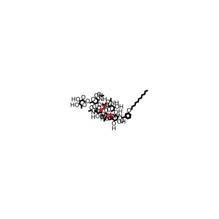 CCCCCCCCCCCOc1cccc(C(=O)N[C@@H]2C(O[C@H]3C(O)C(NC(C)=O)[C@H](OC(C)C(CO)O[C@@H](O[C@H]4C(O)C(NC(C)=O)C(OC5C(CO[C@@H]6OC(C)C(O)[C@H](O)[C@H]6OC)OC(O)[C@@H](NC(C)=O)[C@H]5O)O[C@H]4CO)[C@H](CO)NC(C)=O)O[C@H]3CO)OC(CO)[C@@H](O)C2O)c1